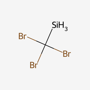 [SiH3]C(Br)(Br)Br